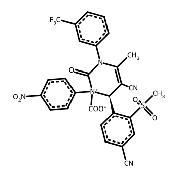 CC1=C(C#N)[C@@H](c2ccc(C#N)cc2S(C)(=O)=O)[N+](C(=O)[O-])(c2ccc([N+](=O)[O-])cc2)C(=O)N1c1cccc(C(F)(F)F)c1